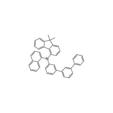 CC1(C)c2ccccc2-c2c(N(c3cccc(-c4cccc(-c5ccccc5)c4)c3)c3cccc4ccccc34)cccc21